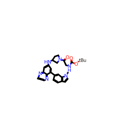 Cn1ccc2ccc(-c3cc(NC4CCN(C(=O)CNC(=O)OC(C)(C)C)C4)cc4nccnc34)cc21